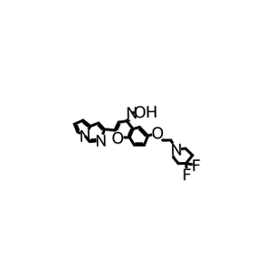 O/N=c1/cc(-c2cc3cccn3cn2)oc2ccc(OCCN3CCC(F)(F)CC3)cc12